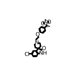 C[C@@H](c1ccc(OCCN2CCC3(CC2)C(=O)Nc2ccc(Cl)cc23)cc1)S(C)(=O)=O